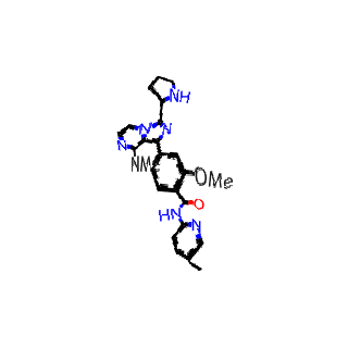 CNc1nccn2c(C3CCCN3)nc(-c3ccc(C(=O)Nc4ccc(C)cn4)c(OC)c3)c12